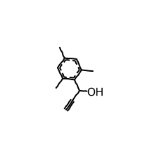 C#CC(O)c1c(C)cc(C)cc1C